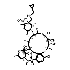 CC[C@H]1OC(=O)[C@H](C)[C@@H](O[C@H]2C[C@@](C)(OC)[C@](O)(CNCC3CC3)[C@H](C)O2)[C@H](C)[C@@H](O[C@@H]2O[C@H](C)C[C@H](N(C)S(=O)(=O)c3ccc(Cl)cc3)[C@H]2O)[C@](C)(O)C[C@@H](C)CN[C@H](C)[C@@H](O)[C@]1(C)O